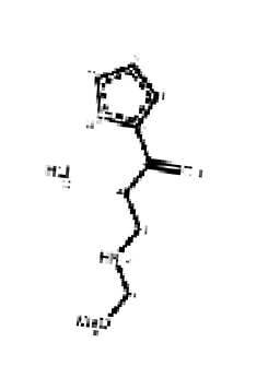 COCNCCC(=O)c1cccs1.Cl